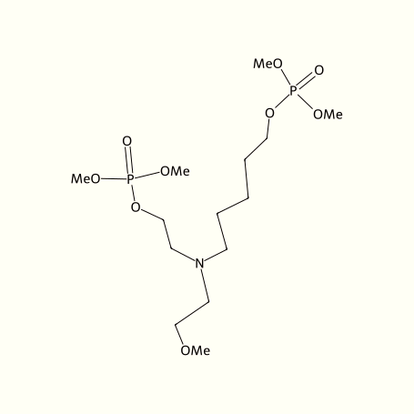 COCCN(CCCCCOP(=O)(OC)OC)CCOP(=O)(OC)OC